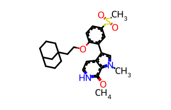 C.Cn1cc(-c2cc(S(C)(=O)=O)ccc2OCCC23CCCC(CCC2)C3)c2cc[nH]c(=O)c21